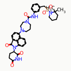 CC1(C)CCCCN1S(=O)(=O)Cc1cccc(NC(=O)N2CCCN(c3ccc4c5c(cccc35)N(C3CCC(=O)NC3=O)C4=O)CC2)c1